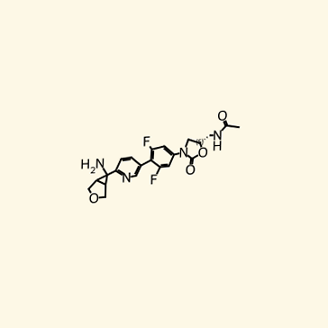 CC(=O)NC[C@H]1CN(c2cc(F)c(-c3ccc(C4(N)C5COCC54)nc3)c(F)c2)C(=O)O1